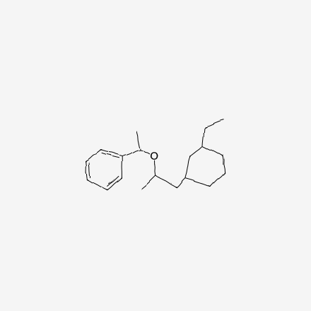 CCC1CCCC(CC(C)OC(C)c2ccccc2)C1